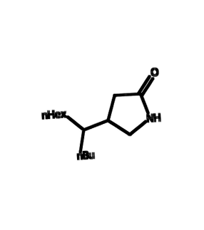 CCCCCCC(CCCC)C1CNC(=O)C1